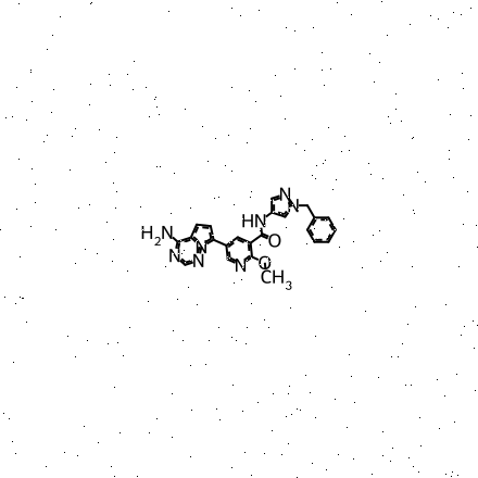 COc1ncc(-c2ccc3c(N)ncnn23)cc1C(=O)Nc1cnn(Cc2ccccc2)c1